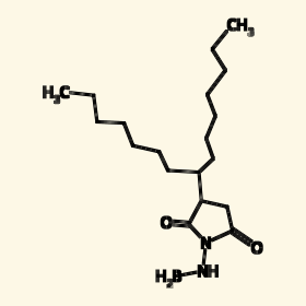 BNN1C(=O)CC(C(CCCCCCC)CCCCCCC)C1=O